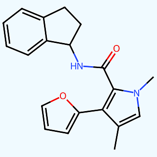 Cc1cn(C)c(C(=O)NC2CCc3ccccc32)c1-c1ccco1